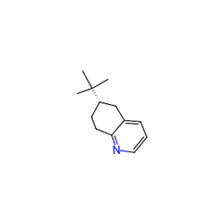 CC(C)(C)[C@H]1CCc2ncccc2C1